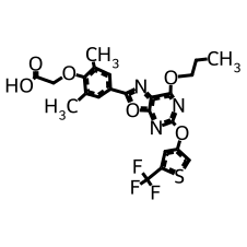 CCCOc1nc(Oc2csc(C(F)(F)F)c2)nc2oc(-c3cc(C)c(OCC(=O)O)c(C)c3)nc12